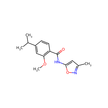 COc1cc(C(C)C)ccc1C(=O)Nc1cc(C)no1